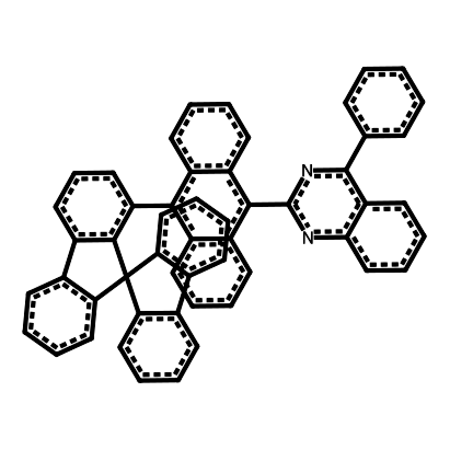 c1ccc(-c2nc(-c3c4ccccc4c(-c4cccc5c4C4(c6ccccc6-c6ccccc64)c4ccccc4-5)c4ccccc34)nc3ccccc23)cc1